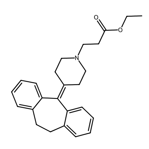 CCOC(=O)CCN1CCC(=C2c3ccccc3CCc3ccccc32)CC1